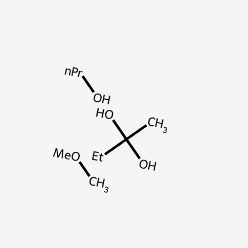 CCC(C)(O)O.CCCO.COC